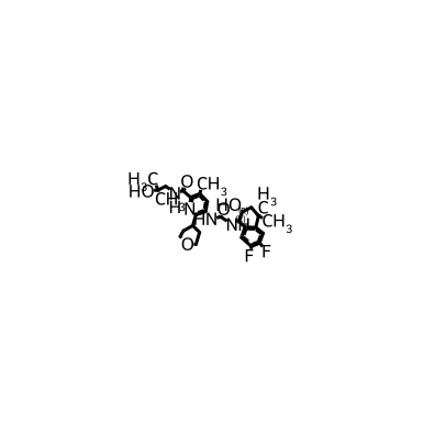 Cc1cc(NC(=O)N[C@@H]2c3cc(F)c(F)cc3C(C)(C)C[C@H]2O)c(C2CCOCC2)nc1C(=O)NCC(C)(C)O